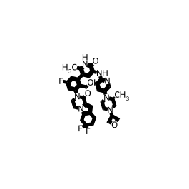 Cc1[nH]c(=O)c(Nc2ccc(N3CCN(C4COC4)C[C@@H]3C)cn2)cc1-c1cc(F)cc(N2CCn3c(cc4c3CC(F)(F)CC4)C2=O)c1CO